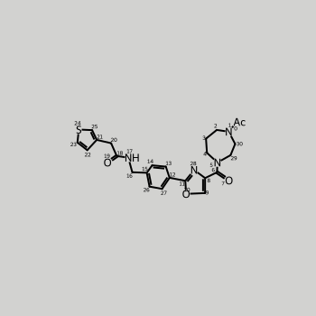 CC(=O)N1CCCN(C(=O)c2coc(-c3ccc(CNC(=O)Cc4ccsc4)cc3)n2)CC1